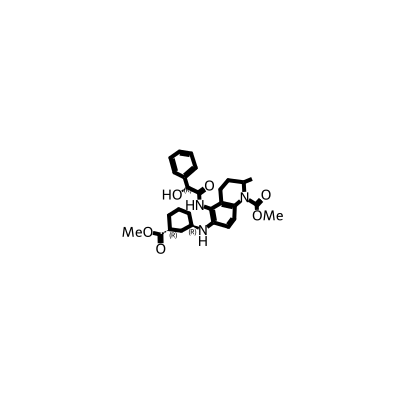 COC(=O)[C@@H]1CCC[C@@H](Nc2ccc3c(c2NC(=O)[C@H](O)c2ccccc2)CCC(C)N3C(=O)OC)C1